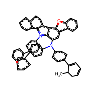 CC1CC=CC=C1c1ccc(N(c2ccc(-c3ccccc3)cc2)c2cc3c4ccccc4oc3c3c4ccc5ccccc5c4n(-c4ccc(-c5ccccc5)cc4)c23)cc1